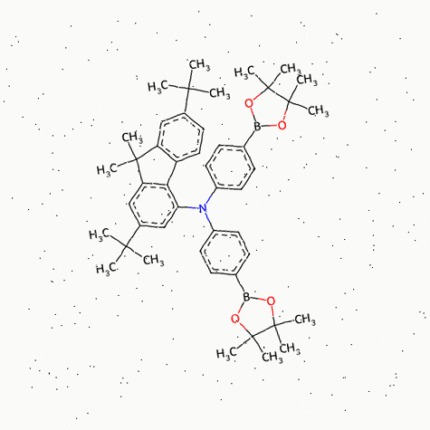 CC(C)(C)c1ccc2c(c1)C(C)(C)c1cc(C(C)(C)C)cc(N(c3ccc(B4OC(C)(C)C(C)(C)O4)cc3)c3ccc(B4OC(C)(C)C(C)(C)O4)cc3)c1-2